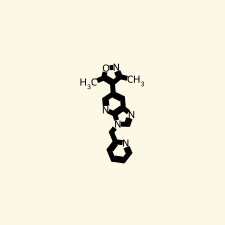 Cc1noc(C)c1-c1cnc2c(c1)ncn2Cc1ccccn1